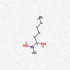 CCN(O)C(O)CCCCC(C)C